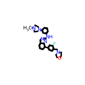 CN1CCN(c2cccc(Nc3ncc4cccc(-c5ccc(CN6CCOCC6)c(F)c5)c4n3)c2)CC1